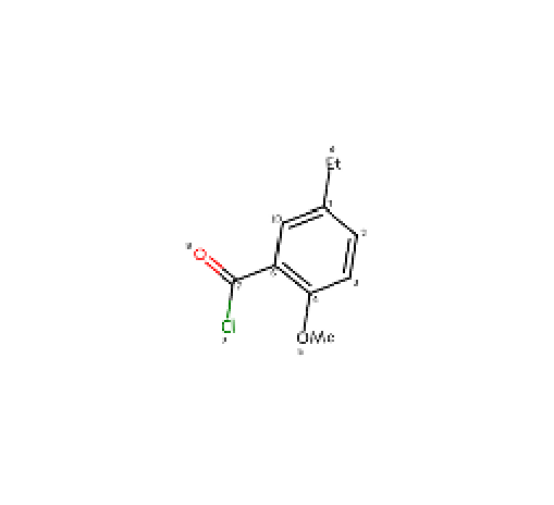 CCc1ccc(OC)c(C(=O)Cl)c1